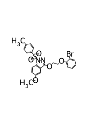 COc1ccc2c(c1)c(OCCOc1ccccc1Br)nn2S(=O)(=O)c1ccc(C)cc1